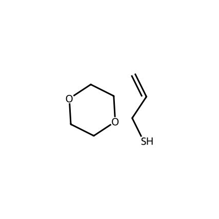 C1COCCO1.C=CCS